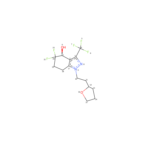 O[C@H]1c2c(C(F)(F)F)nn(CCC3CCCO3)c2CCC1(F)F